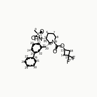 CS(=O)(=O)N[C@@H]1CCCN(C(=O)OC2CC(F)(F)C2)[C@@H]1Cc1cccc(-c2ccccc2)c1